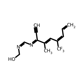 C#CC(=N\C=N/CO)/C(C)=C/C(=C\C=C)C(F)(F)F